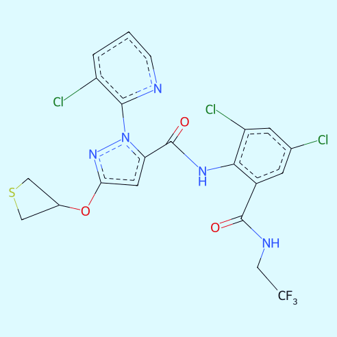 O=C(NCC(F)(F)F)c1cc(Cl)cc(Cl)c1NC(=O)c1cc(OC2CSC2)nn1-c1ncccc1Cl